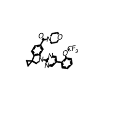 O=C(c1ccc2c(c1)N(c1ncc(-c3ccccc3OC(F)(F)F)cn1)CC21CC1)N1CCOCC1